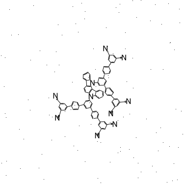 N#Cc1cc(C#N)cc(-c2ccc(-c3cc(-c4ccc(-c5cc(C#N)cc(C#N)c5)cc4)cc(-n4c5ccccc5c5c4ccc4c6ccccc6n(-c6cc(-c7ccc(-c8cc(C#N)cc(C#N)c8)cc7)cc(-c7ccc(-c8cc(C#N)cc(C#N)c8)cc7)c6)c45)c3)cc2)c1